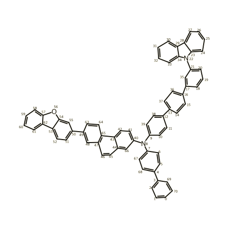 c1ccc(-c2ccc(N(c3ccc(-c4ccc(-c5cccc(-n6c7ccccc7c7ccccc76)c5)cc4)cc3)c3ccc4c(ccc5cc(-c6ccc7c(c6)oc6ccccc67)ccc54)c3)cc2)cc1